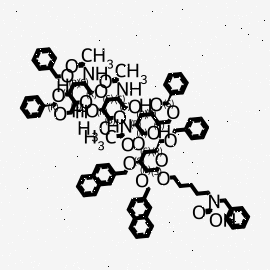 CC(=O)N[C@@H]1[C@H](O[C@@H]2[C@@H](NC(C)=O)[C@@H](O[C@@H]3[C@H](OCc4ccc5ccccc5c4)[C@@H](OCc4ccc5ccccc5c4)[C@@H](OCCCCCN(Cc4ccccc4)C(=O)O)O[C@@H]3COCc3ccccc3)O[C@@H]3CO[C@H](c4ccccc4)O[C@H]23)O[C@@H](C)[C@@H](O)[C@H]1O[C@@H]1O[C@@H]2CO[C@@H](c3ccccc3)O[C@H]2[C@H](OCc2ccccc2)[C@@H]1NC(C)=O